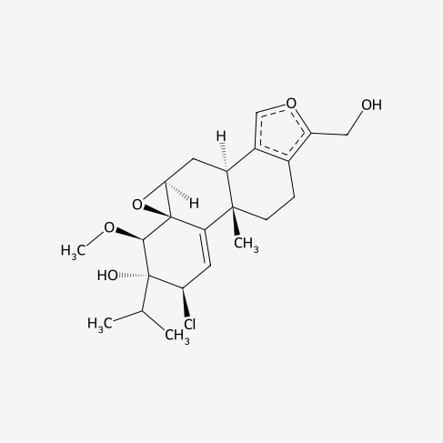 CO[C@H]1[C@]23O[C@H]2C[C@H]2c4coc(CO)c4CC[C@]2(C)C3=C[C@@H](Cl)[C@@]1(O)C(C)C